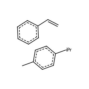 C=Cc1ccccc1.Cc1ccc(C(C)C)cc1